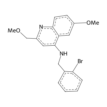 COCc1cc(NCc2ccccc2Br)c2cc(OC)ccc2n1